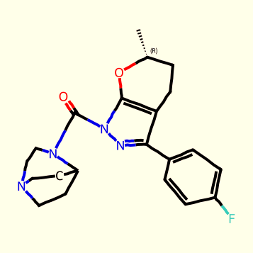 C[C@@H]1CCc2c(-c3ccc(F)cc3)nn(C(=O)N3CCN4CCC3CC4)c2O1